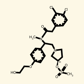 CN(C(=O)Cc1ccc(Cl)c(Cl)c1)C(CN1CC[C@@H](OS(C)(=O)=O)C1)c1ccc(OCCO)cc1